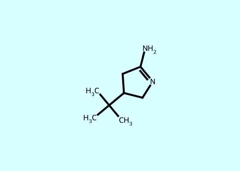 CC(C)(C)C1CN=C(N)C1